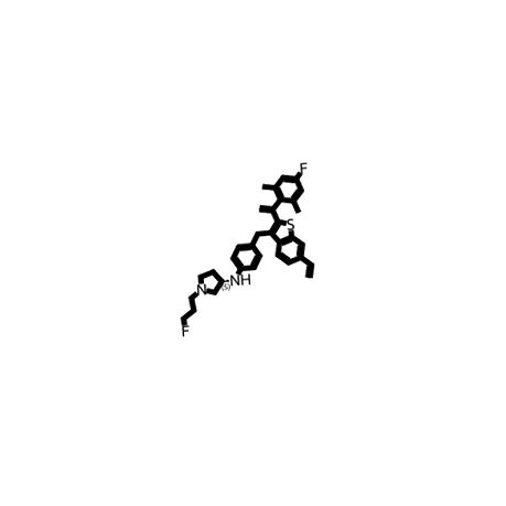 C=Cc1ccc2c(Cc3ccc(N[C@H]4CCN(CCCF)C4)cc3)c(C(=C)c3c(C)cc(F)cc3C)sc2c1